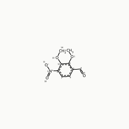 COc1c(C=O)ccc([N+](=O)[O-])c1OC